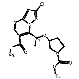 C[C@H](OC1CCN(C(=O)OC(C)(C)C)C1)c1c(C(=O)OC(C)(C)C)cnc2cc(Cl)nn12